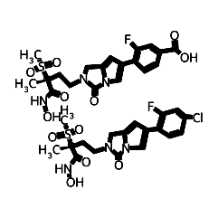 C[C@@](CCN1Cc2cc(-c3ccc(C(=O)O)cc3F)cn2C1=O)(C(=O)NO)S(C)(=O)=O.C[C@@](CCN1Cc2cc(-c3ccc(Cl)cc3F)cn2C1=O)(C(=O)NO)S(C)(=O)=O